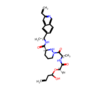 C=CCC(O)O[C@H](C(=O)N[C@@H](C)C(=O)N1CCC[C@@H](C(=O)N[C@H](C)c2ccc3cnc(C=C)cc3c2)N1)C(C)C